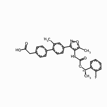 Cc1cc(-c2noc(C)c2NC(=O)O[C@H](C)c2ccccc2F)ccc1-c1ccc(CC(=O)O)cc1